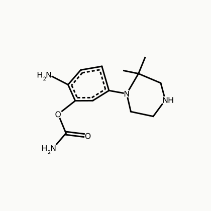 CC1(C)CNCCN1c1ccc(N)c(OC(N)=O)c1